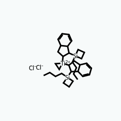 CCCC[Si]1(C2C3C=CC=CC3C[CH]2[Ti+2]2([CH]3CC4C=CC=CC4C3[Si]3(CCCC)CCC3)[CH2][CH2]2)CCC1.[Cl-].[Cl-]